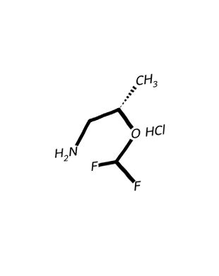 C[C@@H](CN)OC(F)F.Cl